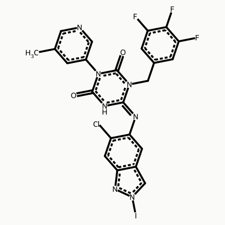 Cc1cncc(-n2c(=O)[nH]/c(=N\c3cc4cn(I)nc4cc3Cl)n(Cc3cc(F)c(F)c(F)c3)c2=O)c1